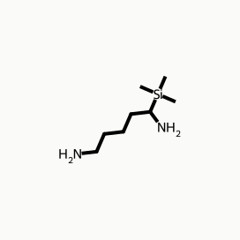 C[Si](C)(C)C(N)CCCCN